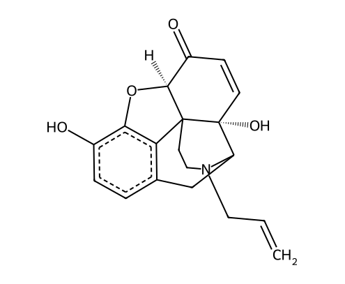 C=CCN1CCC23c4c5ccc(O)c4O[C@H]2C(=O)C=C[C@@]3(O)C1C5